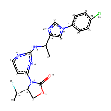 CC(Nc1nccc(N2C(=O)OC[C@@H]2C(C)F)n1)c1cn(-c2ccc(Cl)cc2)cn1